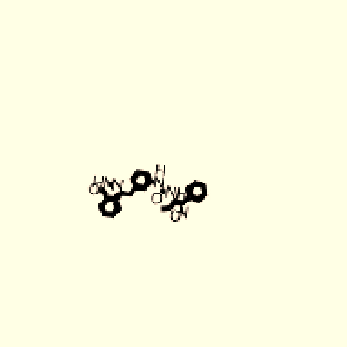 Cc1onc(-c2ccccc2)c1NC(=O)Nc1cccc(Cc2n[nH]c(=O)c3ccccc23)c1